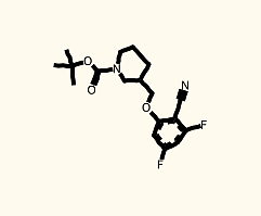 CC(C)(C)OC(=O)N1CCCC(COc2cc(F)cc(F)c2C#N)C1